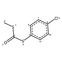 CSC(=O)Sc1ccc(Cl)cc1